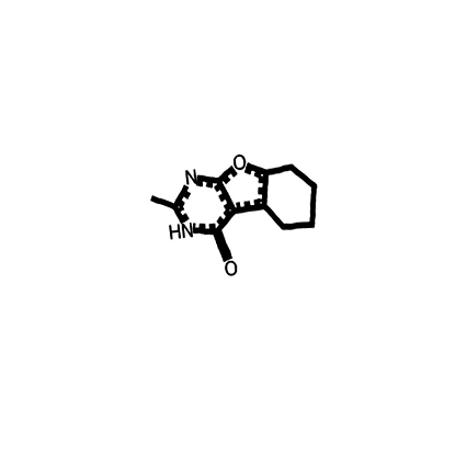 Cc1nc2oc3c(c2c(=O)[nH]1)CCCC3